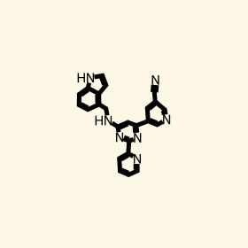 N#Cc1cncc(-c2cc(NCc3cccc4[nH]ccc34)nc(-c3ccccn3)n2)c1